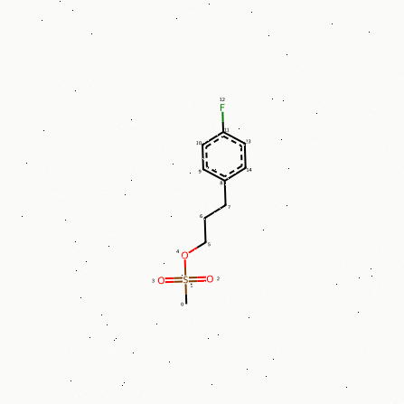 CS(=O)(=O)OCCCc1ccc(F)cc1